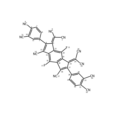 N#CC(C#N)=C1C(c2ccc(C#N)c(C#N)c2)=C(C#N)c2c(F)c3c(c(F)c21)C(=C(C#N)C#N)C(c1ccc(C#N)c(C#N)c1)=C3C#N